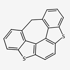 c1cc2c3c(c1)sc1ccc4sc5cccc(c5c4c13)C2